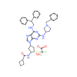 O=C(N[C@H]1C[C@@H](n2cnc3c(NCC(c4ccccc4)c4ccccc4)nc(N[C@@H]4CCN(Cc5ccccc5)C4)nc32)[C@H](OC(=O)C(F)(F)F)[C@@H]1O)C1CCC1